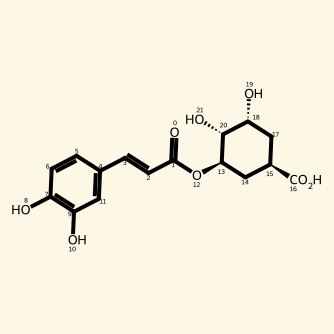 O=C(/C=C/c1ccc(O)c(O)c1)O[C@@H]1C[C@H](C(=O)O)C[C@@H](O)[C@H]1O